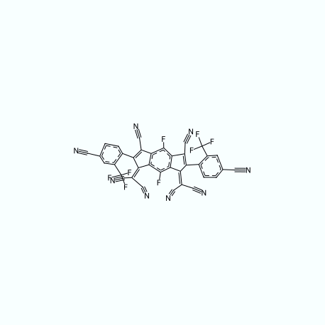 N#CC(C#N)=C1C(c2ccc(C#N)cc2C(F)(F)F)=C(C#N)c2c(F)c3c(c(F)c21)C(=C(C#N)C#N)C(c1ccc(C#N)cc1C(F)(F)F)=C3C#N